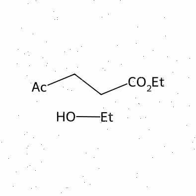 CCO.CCOC(=O)CCC(C)=O